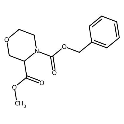 COC(=O)C1COCCN1C(=O)OCc1ccccc1